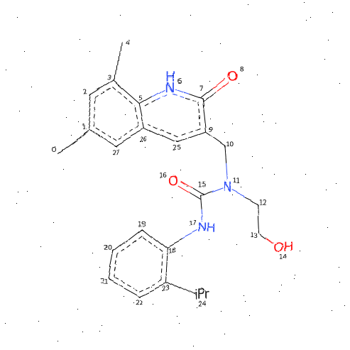 Cc1cc(C)c2[nH]c(=O)c(CN(CCO)C(=O)Nc3ccccc3C(C)C)cc2c1